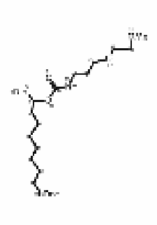 CCCCCCCCCCCCCCCCCC(CCCCCCCCCC)OC(=O)NCCCOCCOC